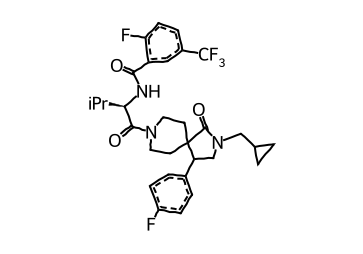 CC(C)[C@@H](NC(=O)c1cc(C(F)(F)F)ccc1F)C(=O)N1CCC2(CC1)C(=O)N(CC1CC1)CC2c1ccc(F)cc1